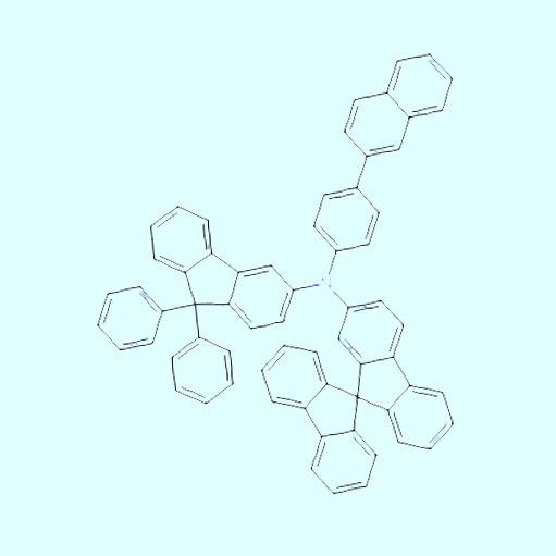 c1ccc(C2(c3ccccc3)c3ccccc3-c3cc(N(c4ccc(-c5ccc6ccccc6c5)cc4)c4ccc5c(c4)C4(c6ccccc6-c6ccccc64)c4ccccc4-5)ccc32)cc1